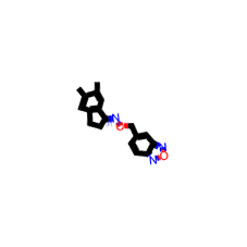 Cc1cc2c(cc1C)/C(=N/OCc1ccc3nonc3c1)CC2